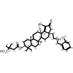 CC(C)C1=C2[C@H]3CCC4[C@@]5(C)CC[C@H](OC(=O)CC(C)(C)C(=O)O)C(C)(C)C5CC[C@@]4(C)[C@]3(C)CC[C@@]2(CCNCc2ccccc2Cl)CC1=O